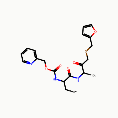 CCCCC(NC(=O)C(CC(C)C)NC(=O)OCc1ccccn1)C(=O)CSCc1ccco1